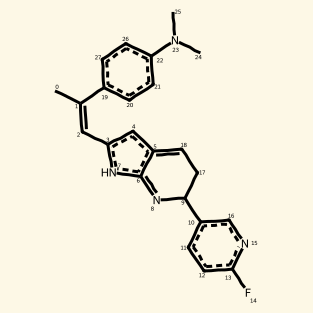 C/C(=C/c1cc2c([nH]1)=NC(c1ccc(F)nc1)CC=2)c1ccc(N(C)C)cc1